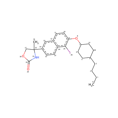 CCCCC1CCC(Oc2ccc3cc(C4(C)COC(=O)N4)ccc3c2I)CC1